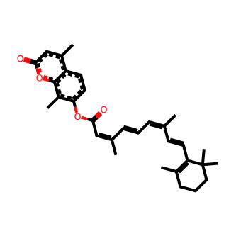 CC(C=CC1=C(C)CCCC1(C)C)=CC=CC(C)=CC(=O)Oc1ccc2c(C)cc(=O)oc2c1C